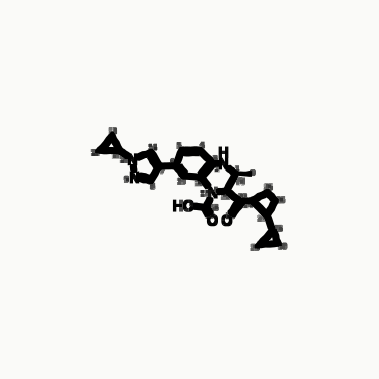 C[C@@H]1Nc2ccc(-c3cnn(C4CC4)c3)cc2N(C(=O)O)C1C(=O)C1CCC1C1CC1